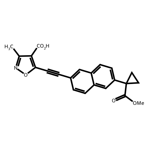 COC(=O)C1(c2ccc3cc(C#Cc4onc(C)c4C(=O)O)ccc3c2)CC1